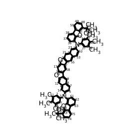 Cc1cc(N(c2ccc3cc4c(cc3c2)oc2cc3oc5cc6cc(N(c7cc(C)c(C)c(C)c7)c7cccc8c7oc7c(C(C)(C)C)cccc78)ccc6cc5c3cc24)c2cccc3c2oc2c(C(C)(C)C)cccc23)cc(C)c1C